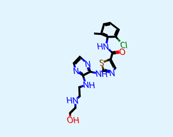 Cc1cccc(Cl)c1NC(=O)c1cnc(Nc2nccnc2NCCNCCO)s1